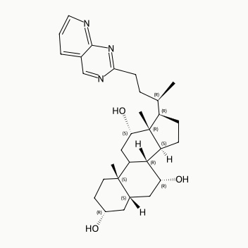 C[C@H](CCc1ncc2cccnc2n1)[C@H]1CC[C@H]2[C@H]3C(C[C@H](O)[C@]12C)[C@@]1(C)CC[C@@H](O)C[C@H]1C[C@H]3O